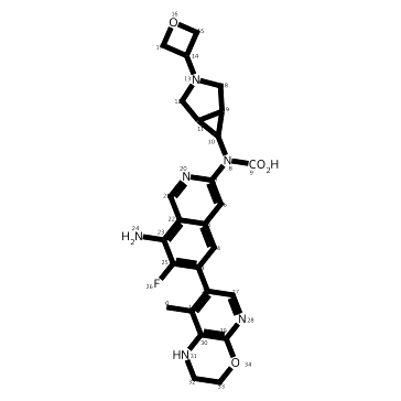 Cc1c(-c2cc3cc(N(C(=O)O)C4C5CN(C6COC6)CC54)ncc3c(N)c2F)cnc2c1NCCO2